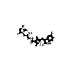 Cc1[nH]c(/C=C2\C(=O)Nc3ccc(F)cc32)c(C)c1C(=O)NCC(O)CN1C(=O)CN(C)C1=O